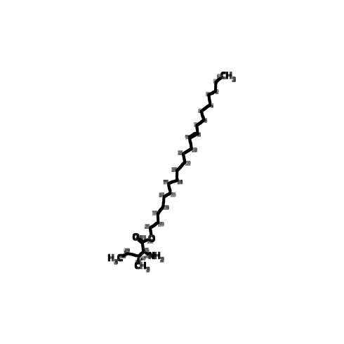 CCCCCCCC/C=C/CCCCCCCCCCCCOC(=O)[C@@H](N)[C@@H](C)CC